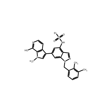 CCS(=O)(=O)Nc1cc(-c2cn(C)c3c(O)nccc23)cc2c1cnn2Cc1cccc(C)c1C